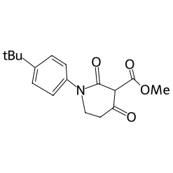 COC(=O)C1C(=O)CCN(c2ccc(C(C)(C)C)cc2)C1=O